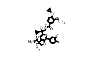 COc1cc(C(=O)NCC(O)(c2cc3c(c(-c4ccc(F)c(Cl)c4)n2)OC[C@]3(C)C(N)=O)C2CC2)ccc1OC1CC1